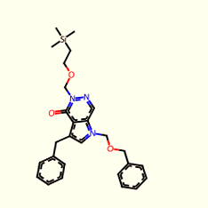 C[Si](C)(C)CCOCn1ncc2c(c(Cc3ccccc3)cn2COCc2ccccc2)c1=O